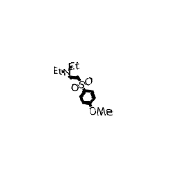 CCN(/C=C/S(=O)(=O)c1ccc(OC)cc1)CC